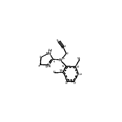 C#CCN(C1=NCCN1)c1c(C)cccc1C